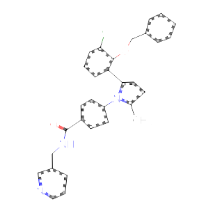 Cc1ccc(-c2cccc(Cl)c2OCc2ccccc2)n1-c1ccc(C(=O)NCc2cccnc2)cc1